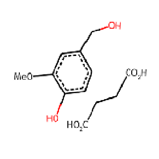 COc1cc(CO)ccc1O.O=C(O)CCC(=O)O